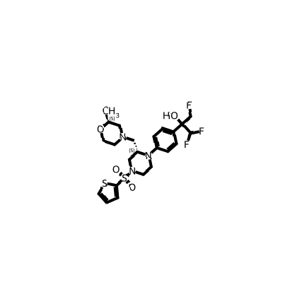 C[C@H]1CN(C[C@H]2CN(S(=O)(=O)c3cccs3)CCN2c2ccc(C(O)(CF)C(F)F)cc2)CCO1